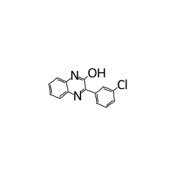 Oc1nc2ccccc2nc1-c1cccc(Cl)c1